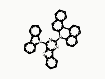 c1ccc2c3c(ccc2c1)N(c1nc(-n2c4ccccc4c4ccccc42)c2sc4ccccc4c2n1)c1cccc2cccc-3c12